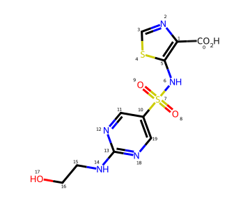 O=C(O)c1ncsc1NS(=O)(=O)c1cnc(NCCO)nc1